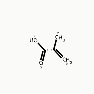 C=CC.O=CO